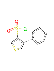 O=S(=O)(Cl)c1cscc1-c1ccccc1